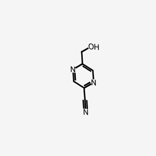 N#Cc1cnc(CO)cn1